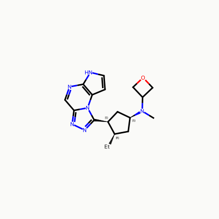 CC[C@@H]1C[C@H](N(C)C2COC2)C[C@@H]1c1nnc2cnc3[nH]ccc3n12